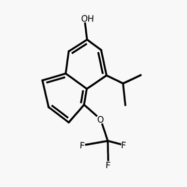 CC(C)c1cc(O)cc2cccc(OC(F)(F)F)c12